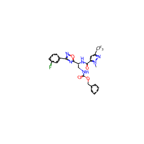 Cn1nc(C(F)(F)F)cc1C(=O)NC(CNC(=O)OCc1ccccc1)c1nc(-c2cccc(F)c2)no1